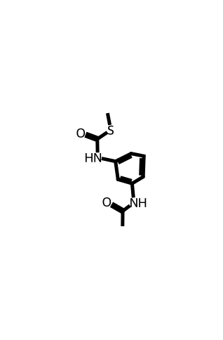 CSC(=O)Nc1cccc(NC(C)=O)c1